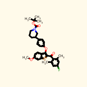 COc1ccc2c(Oc3ccc(C4CCCN(C(=O)OC(C)(C)C)C4)cc3)c(C(=O)c3c(C)cc(F)cc3C)sc2c1